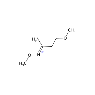 COCC/C(N)=N/OC